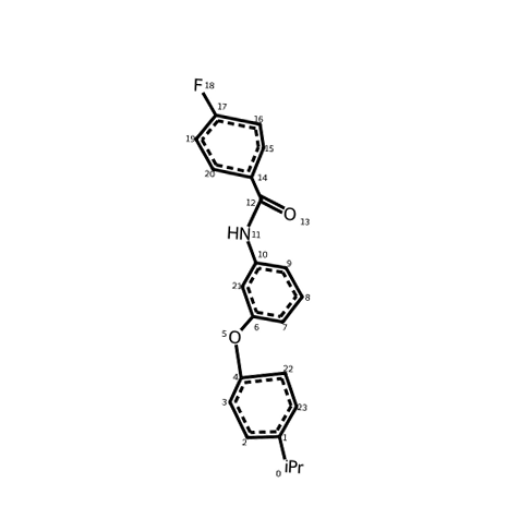 CC(C)c1ccc(Oc2cccc(NC(=O)c3ccc(F)cc3)c2)cc1